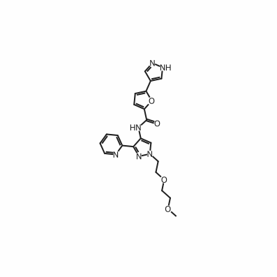 COCCOCCn1cc(NC(=O)c2ccc(-c3cn[nH]c3)o2)c(-c2ccccn2)n1